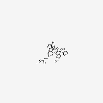 CCOC(=O)CCc1ccc(C[N@@+]2(C)[C@@H]3C=C[C@H]2C[C@H](OC(=O)C(O)(c2cccs2)c2cccs2)C3)cc1.[Br-]